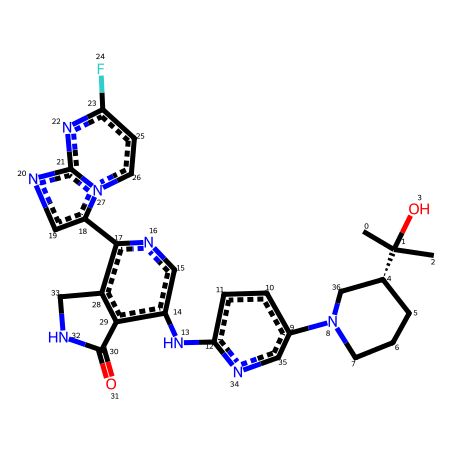 CC(C)(O)[C@@H]1CCCN(c2ccc(Nc3cnc(-c4cnc5nc(F)ccn45)c4c3C(=O)NC4)nc2)C1